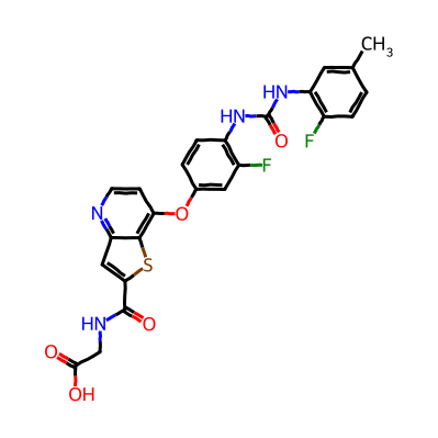 Cc1ccc(F)c(NC(=O)Nc2ccc(Oc3ccnc4cc(C(=O)NCC(=O)O)sc34)cc2F)c1